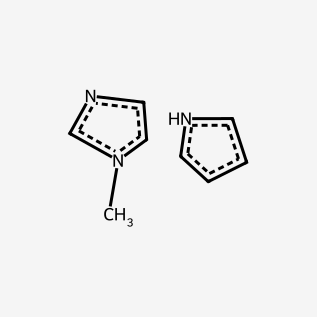 Cn1ccnc1.c1cc[nH]c1